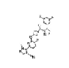 Cn1ncc(C#N)c1-c1ccc(F)c(OC2CN(C(=O)N3N=CCC3c3cc(F)cc(F)c3)C2)n1